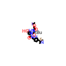 Cc1ncsc1-c1ccc(CNC(=O)[C@@H]2C[C@@H](O)CN2C(=O)C(NC(=O)COC(C)I)C(C)(C)C)cc1